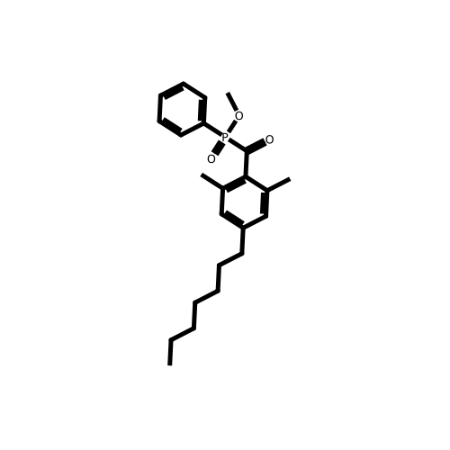 CCCCCCCc1cc(C)c(C(=O)P(=O)(OC)c2ccccc2)c(C)c1